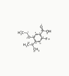 CCOc1cc(C(=O)O)c(F)cc1C(C)C